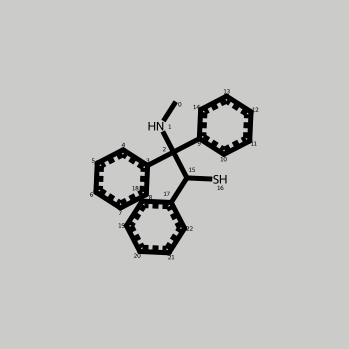 CNC(c1ccccc1)(c1ccccc1)C(S)c1ccccc1